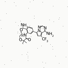 C[C@@H]1COC(C)(C)C(=O)N1c1cc(-c2cc(C(F)(F)F)c3c(N)ncnn23)ccc1C(N)=O